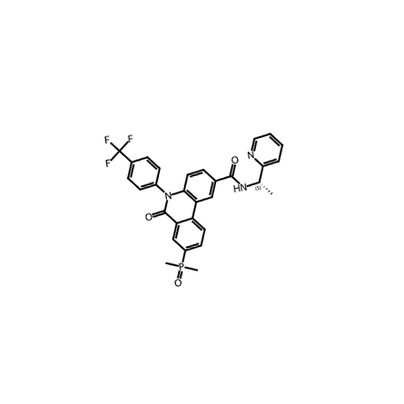 C[C@H](NC(=O)c1ccc2c(c1)c1ccc(P(C)(C)=O)cc1c(=O)n2-c1ccc(C(F)(F)F)cc1)c1ccccn1